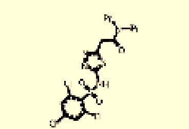 CC(C)N(C(=O)Cc1nnc(NS(=O)(=O)c2c(Cl)cc(Cl)cc2Cl)s1)C(C)C